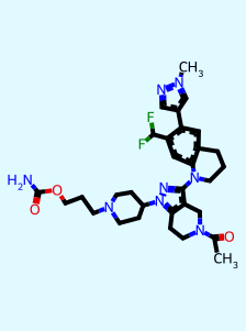 CC(=O)N1CCc2c(c(N3CCCc4cc(-c5cnn(C)c5)c(C(F)F)cc43)nn2C2CCN(CCCOC(N)=O)CC2)C1